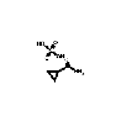 NC(=O)C1CC1.O=S(=O)(O)O